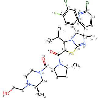 CC(C)C1=C(C(=O)N2[C@H](C)CC[C@@H]2C(=O)N2CCN(CCO)[C@H](C)C2)SC2=N[C@@](C)(c3ccc(Cl)nc3)[C@@H](c3ccc(Cl)c(F)c3)N21